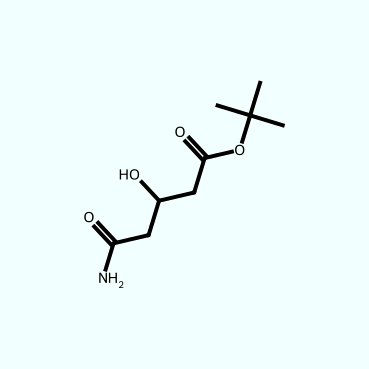 CC(C)(C)OC(=O)CC(O)CC(N)=O